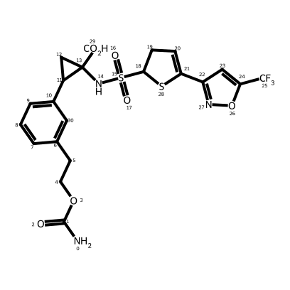 NC(=O)OCCc1cccc(C2CC2(NS(=O)(=O)C2CC=C(c3cc(C(F)(F)F)on3)S2)C(=O)O)c1